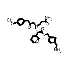 CCOc1ccc(CC(=O)CN(CCC(N)=O)C[C@H](C(=O)NCc2ccc(CN)cc2)c2cccnc2)cc1